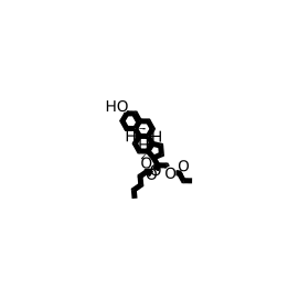 CCCCC(=O)O[C@]1(C(=O)COC(=O)CC)CC[C@H]2[C@@H]3CCC4=CC(O)CC[C@]4(C)[C@H]3CC[C@@]21C